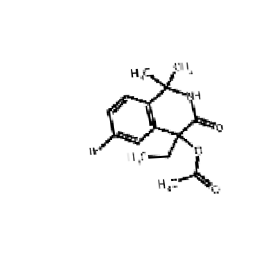 CCC1(OC(C)=O)C(=O)NC(C)(C)c2ccc(Br)cc21